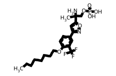 CCCCCCCCOc1ccc(-c2cc(C(C)(N)COP(=O)(O)O)on2)cc1C(F)(F)F